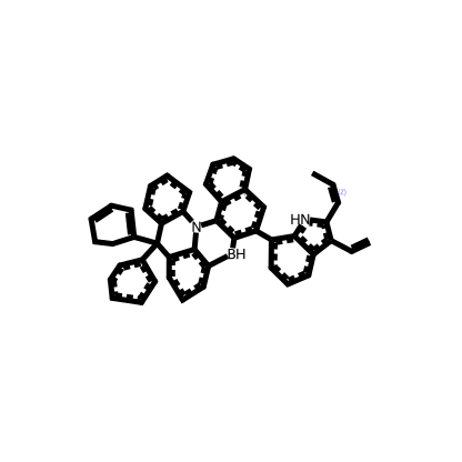 C=Cc1c(/C=C\C)[nH]c2c(-c3cc4ccccc4c4c3Bc3cccc5c3N4c3ccccc3C5(C3=CC=CCC3)c3ccccc3)cccc12